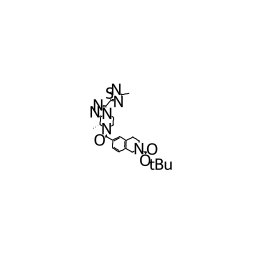 Cc1nsc(-c2nnc3n2CCN(C(=O)c2ccc4c(c2)CCN(C(=O)OC(C)(C)C)C4)[C@@H]3C)n1